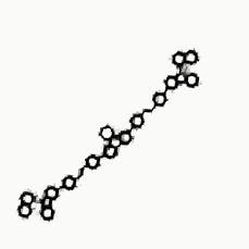 C(=C\c1ccc(-c2ccc3c(c2)c2ccccc2n3-c2cccc3ccccc23)cc1)/c1ccc(-c2ccc3c(c2)C2(CCCCC2)c2cc(-c4ccc(/C=C/c5ccc(-c6ccc7c(c6)c6ccccc6n7-c6cccc7ccccc67)cc5)cc4)ccc2-3)cc1